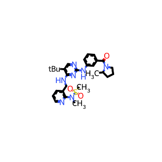 CC1CCCN1C(=O)c1cccc(Nc2ncc(C(C)(C)C)c(NCc3cccnc3N(C)S(C)(=O)=O)n2)c1